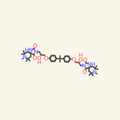 CN1C(C)(C)CC2(CC1(C)C)NC(=O)N(CC(O)COc1ccc(C(C)(C)c3ccc(OCC(O)CN4C(=O)NC5(CC(C)(C)N(C)C(C)(C)C5)C4=O)cc3)cc1)C2=O